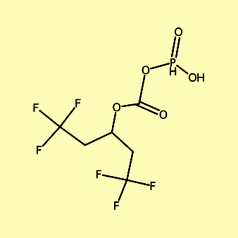 O=C(OC(CC(F)(F)F)CC(F)(F)F)O[PH](=O)O